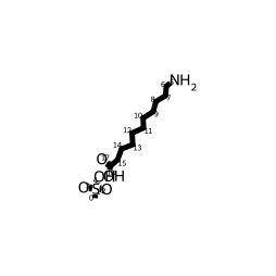 CS(=O)(=O)O.NCCCCCCCCCCC(=O)O